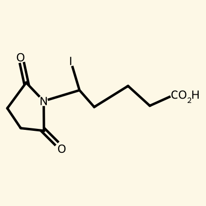 O=C(O)CCCC(I)N1C(=O)CCC1=O